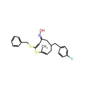 C/C1=C\CC(Cc2ccc(F)cc2)CC(=N\O)/C=C(\SCc2ccccc2)S1